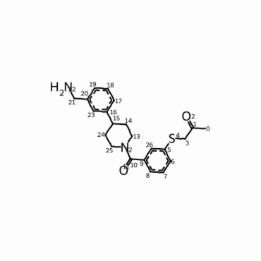 CC(=O)CSc1cccc(C(=O)N2CCC(c3cccc(CN)c3)CC2)c1